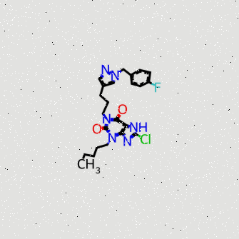 CCCCCn1c(=O)n(CCCc2cnn(Cc3ccc(F)cc3)c2)c(=O)c2[nH]c(Cl)nc21